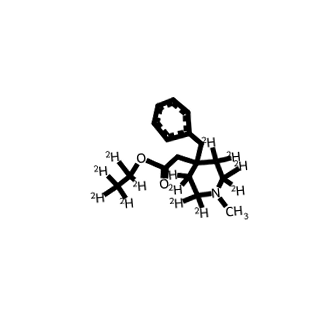 [2H]C([2H])([2H])C([2H])([2H])OC(=O)CC1(Cc2ccccc2)C([2H])([2H])C([2H])([2H])N(C)C([2H])([2H])C1([2H])[2H]